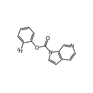 [2H]c1ccccc1OC(=O)n1ccc2ccncc21